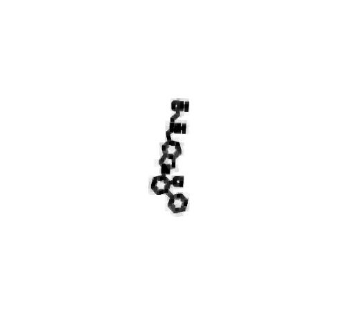 OCCNCc1ccc2c(c1)CN(c1cccc(-c3ccccc3)c1Cl)C2